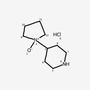 Cl.[O-][N+]1(C2CCNCC2)CCCC1